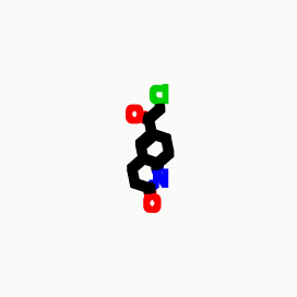 O=C1CCC2C=C(C(=O)CCl)CCC2=N1